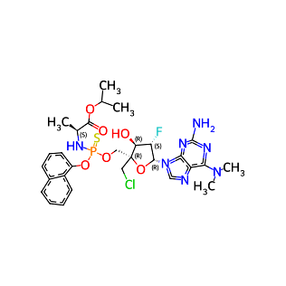 CC(C)OC(=O)[C@H](C)NP(=S)(OC[C@@]1(CCl)O[C@@H](n2cnc3c(N(C)C)nc(N)nc32)[C@@H](F)[C@@H]1O)Oc1cccc2ccccc12